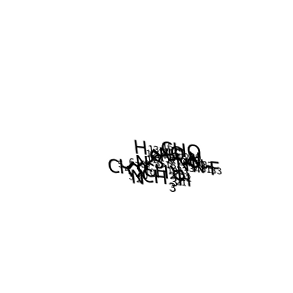 Cc1ncc(Cl)cc1N[C@@H](C)c1ccc(N(C=O)[C@@H](CC2CCCC2)C(=O)Nc2cnn(CCF)c2)s1